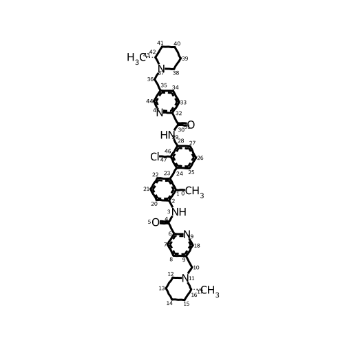 Cc1c(NC(=O)c2ccc(CN3CCCC[C@H]3C)cn2)cccc1-c1cccc(NC(=O)c2ccc(CN3CCCC[C@H]3C)cn2)c1Cl